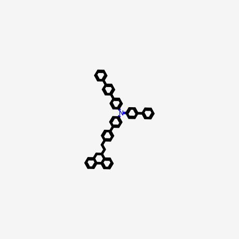 c1ccc(-c2ccc(-c3ccc(N(c4ccc(-c5ccccc5)cc4)c4ccc(-c5ccc(CCC6Cc7ccccc7-c7ccccc76)cc5)cc4)cc3)cc2)cc1